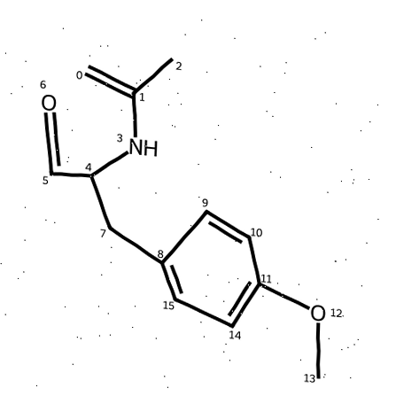 C=C(C)NC(C=O)Cc1ccc(OC)cc1